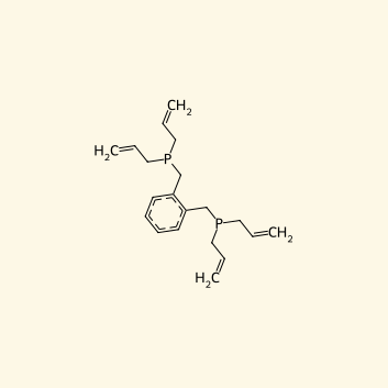 C=CCP(CC=C)Cc1ccccc1CP(CC=C)CC=C